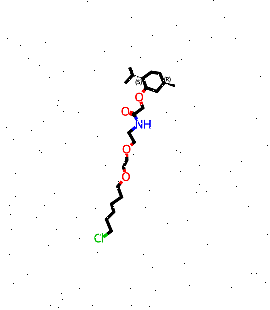 CC(C)[C@@H]1CC[C@@H](C)CC1OCC(=O)NCCOCCOCCCCCCCl